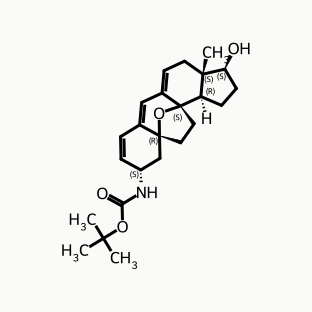 CC(C)(C)OC(=O)N[C@@H]1C=CC2=CC3=CC[C@@]4(C)[C@@H](CC[C@@H]4O)[C@@]34CC[C@]2(C1)O4